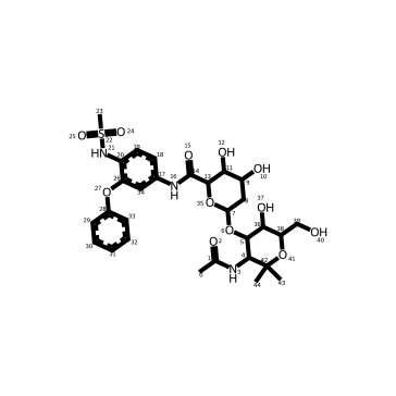 CC(=O)NC1C(OC2CC(O)C(O)C(C(=O)Nc3ccc(NS(C)(=O)=O)c(Oc4ccccc4)c3)O2)C(O)C(CO)OC1(C)C